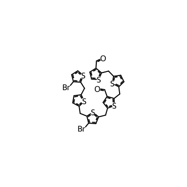 O=Cc1ccsc1Cc1ccc(Cc2sc(Cc3cc(Br)c(Cc4ccc(Cc5sccc5Br)s4)s3)cc2C=O)s1